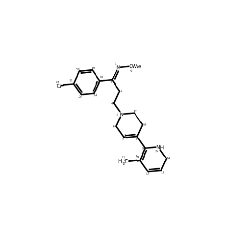 CO/N=C(\CCN1CC=C(C2=C(C)C=CCN2)CC1)c1ccc(Cl)cc1